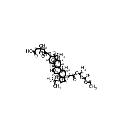 C=C(C)[C@@H]1CC[C@]2(CCC(=O)OC(C)OC(=O)OCC)CC[C@]3(C)[C@H](CC[C@@H]4[C@@]5(C)CC[C@H](OC(=O)CC(C)(C)CC(=O)O)C(C)(C)[C@@H]5CC[C@]43C)[C@@H]12